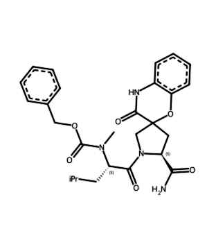 CC(C)C[C@@H](C(=O)N1CC2(C[C@H]1C(N)=O)Oc1ccccc1NC2=O)N(C)C(=O)OCc1ccccc1